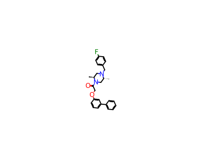 C[C@@H]1CN(C(=O)COc2cccc(-c3ccccc3)c2)[C@@H](C)CN1Cc1ccc(F)cc1